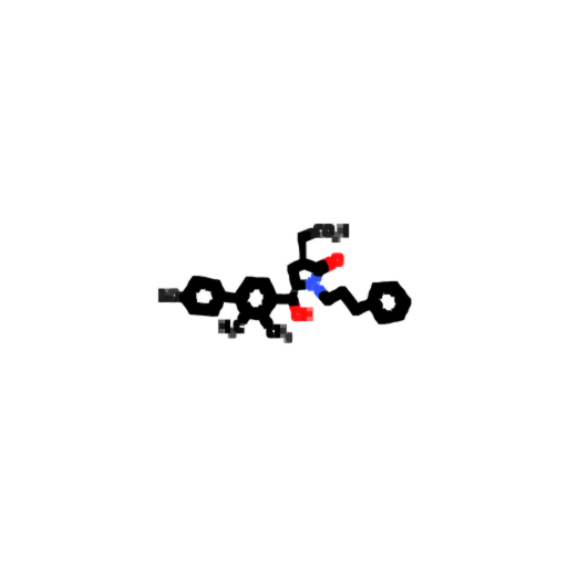 Cc1c(-c2ccc(C#N)cc2)ccc(C(O)[C@@H]2C[C@@H](CC(=O)O)C(=O)N2CCCc2ccccc2)c1C